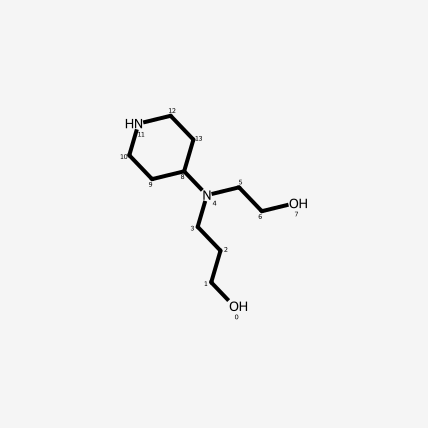 OCCCN(CCO)C1CCNCC1